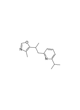 Cc1ncoc1C(C)Cc1cccc(C(C)C)n1